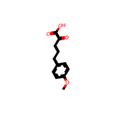 COc1ccc(CCCC(=O)C(=O)O)cc1